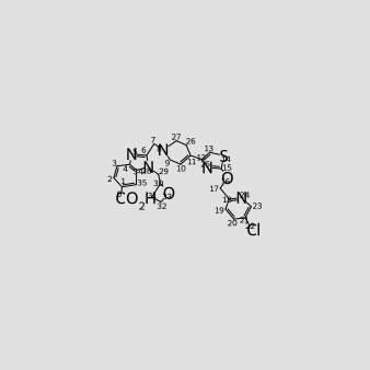 O=C(O)c1ccc2nc(CN3CC=C(c4csc(OCc5ccc(Cl)cn5)n4)CC3)n(CC3CCO3)c2c1